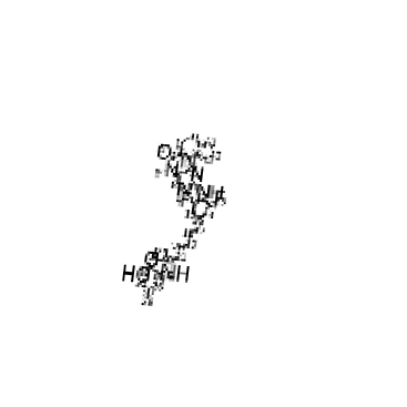 CC[C@@H]1C(=O)N(C)c2cnc(Nc3c(F)cc(C=CCCCC(=O)N[C@@H](CC(C)C)C(=O)O)cc3F)nc2N1C1CCCC1